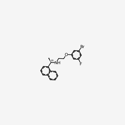 C[C@@H](NCCOc1cc(F)cc(Br)c1)c1cccc2ccccc12